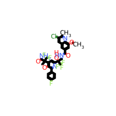 COc1cc(C(=O)NCC(O)(c2cc3c(c(-c4ccc(F)cc4)n2)OCC3(C(N)=O)C(F)F)C(F)(F)F)cc2cc(Cl)c(C)nc12